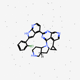 Clc1ccccc1-c1cc2c(-c3nc(N4CC[C@@H]5CNCCC54)c4c(C5CC5)cncc4n3)ccnc2[nH]1